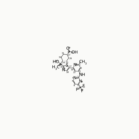 Cc1cc(Nc2nccc(C(F)(F)F)n2)cc(-c2cnc([C@](C)(O)[C@H]3CC[C@H](C(=O)O)CC3)s2)n1